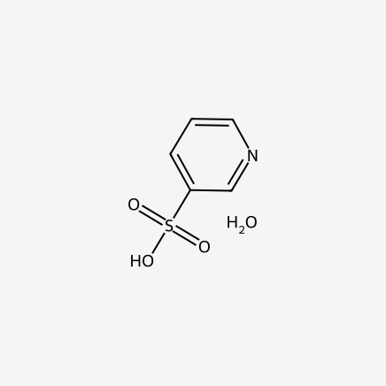 O.O=S(=O)(O)c1cccnc1